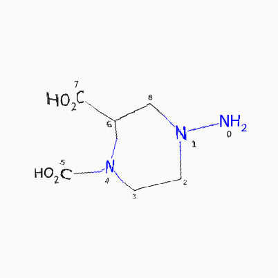 NN1CCN(C(=O)O)C(C(=O)O)C1